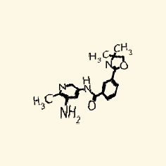 Cc1ncc(NC(=O)c2cccc(C3=NC(C)(C)CO3)c2)cc1N